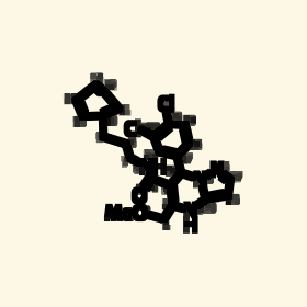 COCC1=C(C(=O)NCCCc2ccccc2)C(c2ccc(Cl)c(Cl)c2)n2nccc2N1